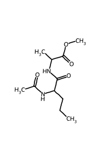 CCCC(NC(C)=O)C(=O)NC(C)C(=O)OC